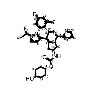 O=C(N[C@H]1CC2=C(c3ccn(C(F)F)n3)[C@H](c3ccc(F)cc3Cl)N=C(c3nccs3)N2C1)O[C@H]1CC[C@H](O)CC1